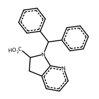 O=C(O)C1Cc2cccnc2N1C(c1ccccc1)c1ccccc1